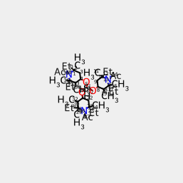 CCC1(C)CC(O[SiH](OC2CC(C)(CC)N(C(C)=O)C(C)(CC)C2C)OC2CC(C)(CC)N(C(C)=O)C(C)(CC)C2C)C(C)C(C)(CC)N1C(C)=O